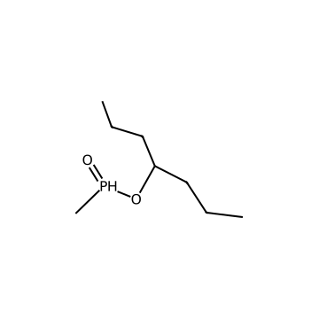 CCCC(CCC)O[PH](C)=O